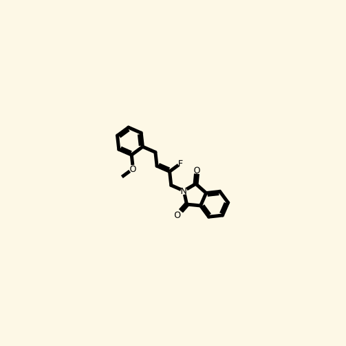 COc1ccccc1CC=C(F)CN1C(=O)c2ccccc2C1=O